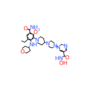 CCc1cc(C(N)=O)c(OC)c(N2CCC(N3CCN(N4C=C(C(=O)NO)C=NC4)CC3)CC2)c1NC1CCOCC1